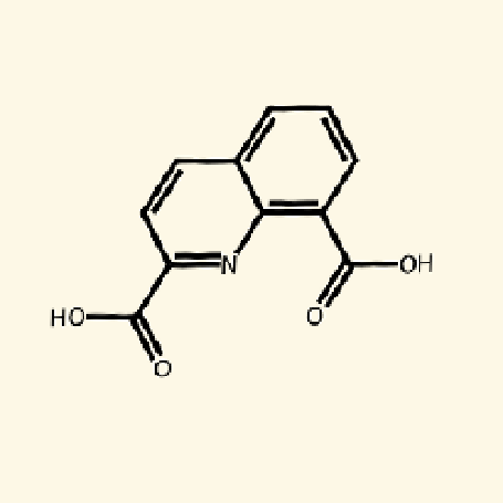 O=C(O)c1ccc2cccc(C(=O)O)c2n1